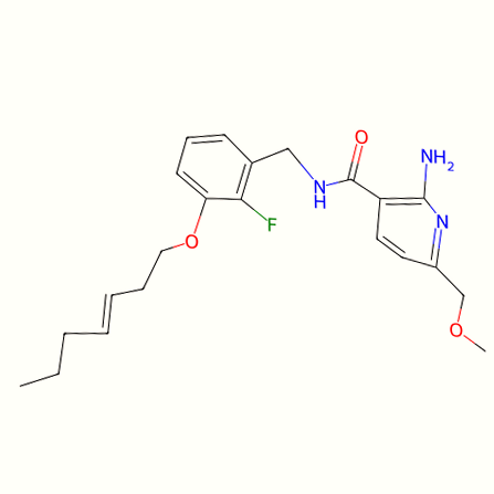 CCCC=CCCOc1cccc(CNC(=O)c2ccc(COC)nc2N)c1F